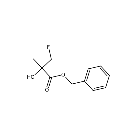 CC(O)(CF)C(=O)OCc1ccccc1